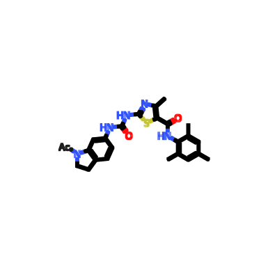 CC(=O)N1CCc2ccc(NC(=O)Nc3nc(C)c(C(=O)Nc4c(C)cc(C)cc4C)s3)cc21